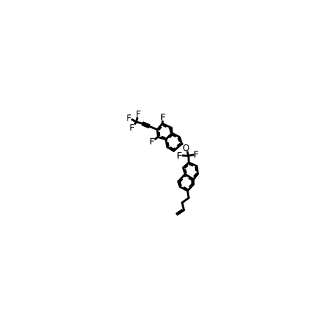 C=CCCc1ccc2cc(C(F)(F)Oc3ccc4c(F)c(C#CC(F)(F)F)c(F)cc4c3)ccc2c1